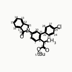 CC(C(=O)OC(C)(C)C)c1ccc(N2Cc3ccccc3C2=O)cc1-c1ccc(Cl)cc1